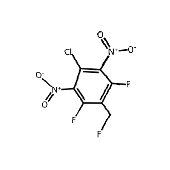 O=[N+]([O-])c1c(F)c(CF)c(F)c([N+](=O)[O-])c1Cl